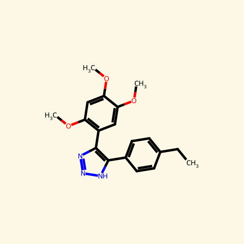 CCc1ccc(-c2[nH]nnc2-c2cc(OC)c(OC)cc2OC)cc1